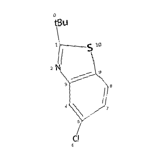 CC(C)(C)c1nc2cc(Cl)ccc2s1